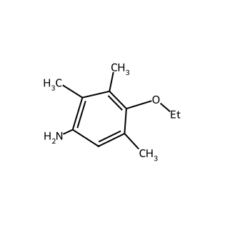 CCOc1c(C)cc(N)c(C)c1C